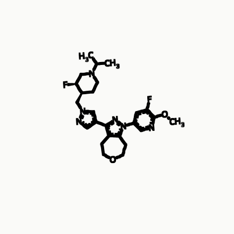 COc1ncc(-n2nc(-c3cnn(C[C@@H]4CCN(C(C)C)C[C@@H]4F)c3)c3c2CCOCC3)cc1F